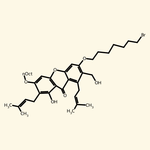 CCCCCCCCOc1cc2oc3cc(OCCCCCCCBr)c(CO)c(CC=C(C)C)c3c(=O)c2c(O)c1CC=C(C)C